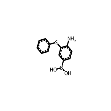 Nc1ccc(B(O)O)cc1Sc1ccccc1